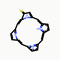 S=C1C=C2C=c3ccc([nH]3)=Cc3ccc([nH]3)C=C3C=CC(=N3)C=C1N2